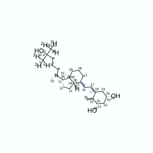 [2H]C([2H])([2H])C(O)(CCC[C@@H](C)[C@H]1CC[C@H]2/C(=C/C=C3/C[C@H](O)C[C@H](O)C3=C)CCC[C@]12C)C([2H])([2H])[2H]